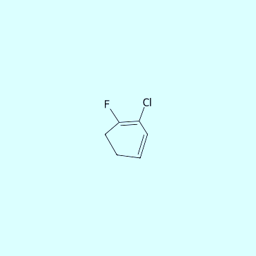 FC1=C(Cl)C=CCC1